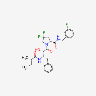 CC[C@H](C)C(=O)N[C@@H](Cc1ccccc1)[C@H](O)C(=O)N1CC(F)(F)C[C@H]1C(=O)NCc1cccc(F)c1